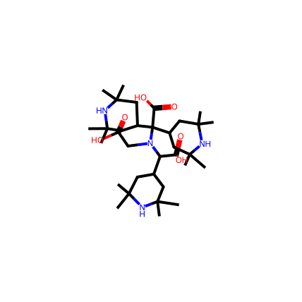 CC1(C)CC(C(C(=O)O)N(CC(=O)O)C(C(=O)O)(C2CC(C)(C)NC(C)(C)C2)C2CC(C)(C)NC(C)(C)C2)CC(C)(C)N1